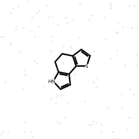 c1cc2c([nH]1)CCc1ccsc1-2